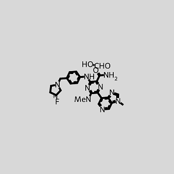 CNc1nc(Nc2ccc(CN3CC[C@@H](F)C3)cc2)c(C(N)=O)nc1-c1cncc2c1ncn2C.O=CO